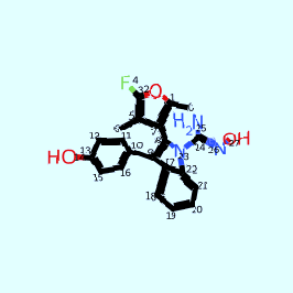 Cc1oc(F)c(C)c1-c1c(-c2ccc(O)cc2)c2ccccc2n1/C(N)=N/O